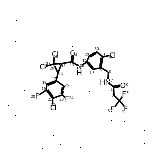 O=C(CC(F)(F)F)NCc1cc(NC(=O)C2C(c3cc(F)c(Cl)c(F)c3)C2(Cl)Cl)ccc1Cl